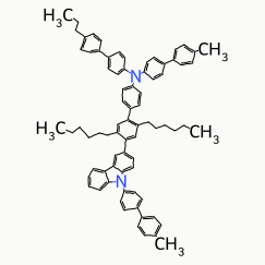 CCCCCCc1cc(-c2ccc3c(c2)c2ccccc2n3-c2ccc(-c3ccc(C)cc3)cc2)c(CCCCCC)cc1-c1ccc(N(c2ccc(-c3ccc(C)cc3)cc2)c2ccc(-c3ccc(CCC)cc3)cc2)cc1